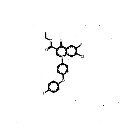 CCOC(=O)c1cn(-c2ccc(Oc3ccc(F)cc3)cc2)c2cc(Cl)c(F)cc2c1=O